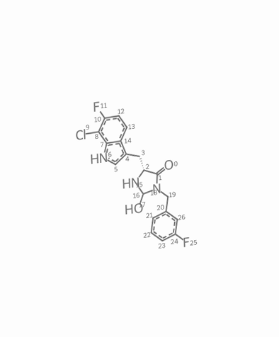 O=C1[C@@H](Cc2c[nH]c3c(Cl)c(F)ccc23)NC(O)N1Cc1cccc(F)c1